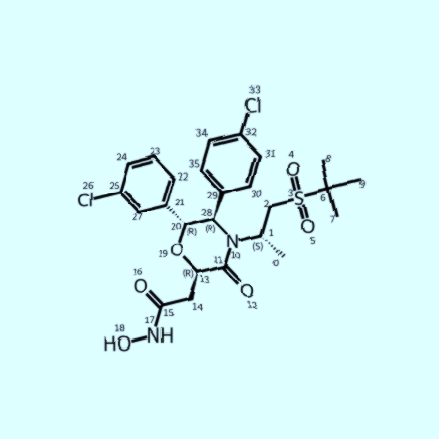 C[C@@H](CS(=O)(=O)C(C)(C)C)N1C(=O)[C@@H](CC(=O)NO)O[C@H](c2cccc(Cl)c2)[C@H]1c1ccc(Cl)cc1